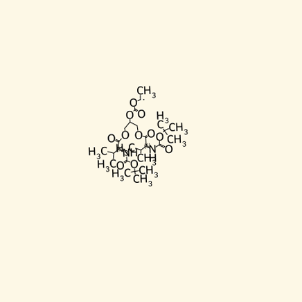 C[CH]OC(=O)OC(COC(=O)[C@@H](NC(=O)OC(C)(C)C)C(C)C)COC(=O)[C@@H](NC(=O)OC(C)(C)C)C(C)C